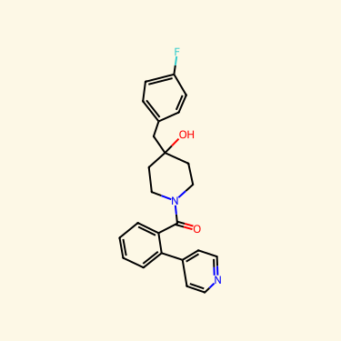 O=C(c1ccccc1-c1ccncc1)N1CCC(O)(Cc2ccc(F)cc2)CC1